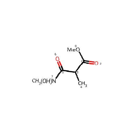 COC(=O)C(C)C(=O)N(C)O